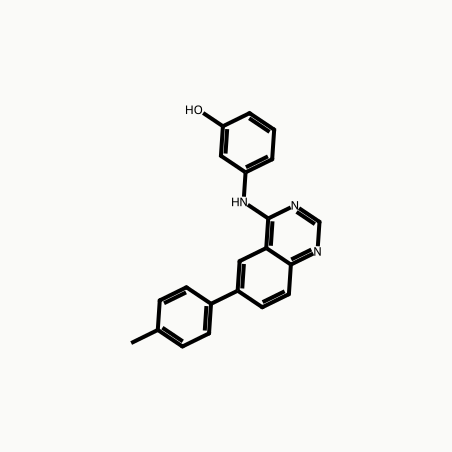 Cc1ccc(-c2ccc3ncnc(Nc4cccc(O)c4)c3c2)cc1